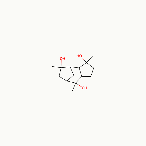 CC1(O)CC2CC1C1C(CCC1(C)O)C2(C)O